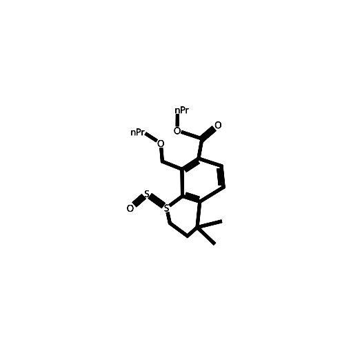 CCCOCc1c(C(=O)OCCC)ccc2c1S(=S=O)CCC2(C)C